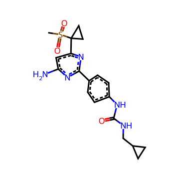 CS(=O)(=O)C1(c2cc(N)nc(-c3ccc(NC(=O)NCC4CC4)cc3)n2)CC1